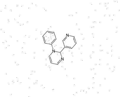 C1=CN(c2ccccc2)C(c2cccnc2)N=C1